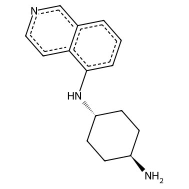 N[C@H]1CC[C@H](Nc2cccc3cnccc23)CC1